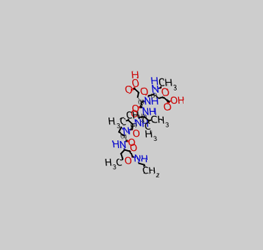 C=CCNC(=O)C(=O)C(CCC)NC(=O)[C@@H]1CCN1C(=O)[C@@H](NC(=O)[C@@H](NC(=O)[C@H](CCC(=O)O)NC(=O)[C@H](CCC(=O)O)NC(C)=O)C(C)C)C(C)C